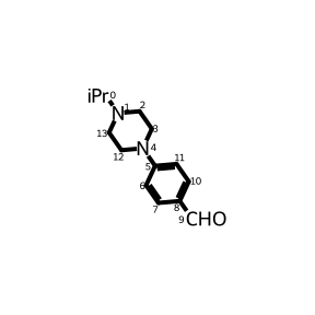 CC(C)N1CCN(c2ccc(C=O)cc2)CC1